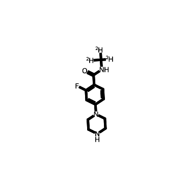 [2H]C([2H])([2H])NC(=O)c1ccc(N2CCNCC2)cc1F